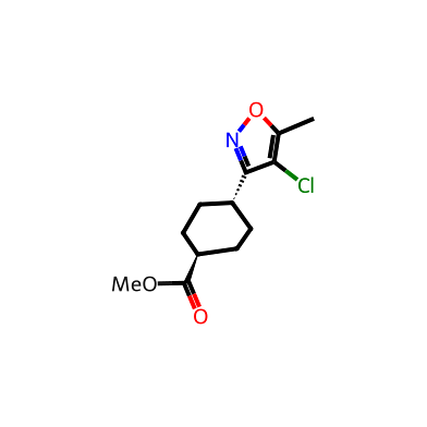 COC(=O)[C@H]1CC[C@H](c2noc(C)c2Cl)CC1